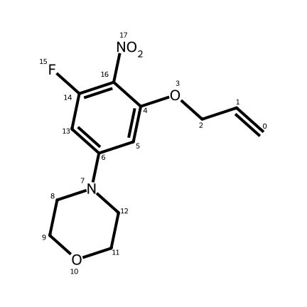 C=CCOc1cc(N2CCOCC2)cc(F)c1[N+](=O)[O-]